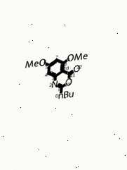 CCCCc1nc2cc(OC)cc(OC)c2c(=O)o1